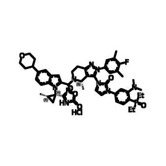 CCP(=O)(CC)c1ccc(-n2ccn(-c3c4c(nn3-c3cc(C)c(F)c(C)c3)CCN(C(=O)c3cc5cc(C6CCOCC6)ccc5n3[C@@]3(c5noc(=O)[nH]5)C[C@@H]3C)[C@H]4C)c2=O)cc1N(C)C.Cl